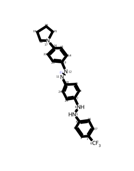 FC(F)(F)c1ccc(NNc2ccc(/N=N/c3ccc(N4CCCC4)cc3)cc2)cc1